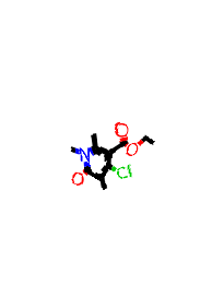 CCOC(=O)c1c(Cl)c(C)c(=O)n(C)c1C